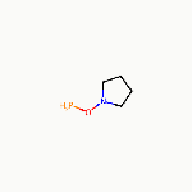 PON1CCCC1